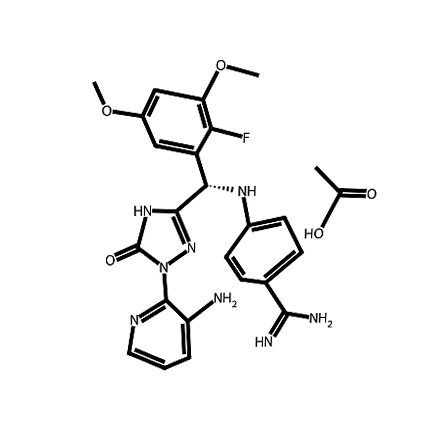 CC(=O)O.COc1cc(OC)c(F)c([C@H](Nc2ccc(C(=N)N)cc2)c2nn(-c3ncccc3N)c(=O)[nH]2)c1